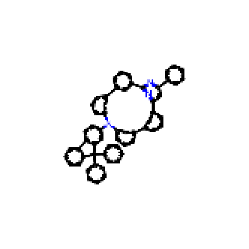 c1ccc(-c2cc3nc(n2)-c2cccc(c2)-c2cccc(c2)N(c2ccc4c(c2)C(c2ccccc2)(c2ccccc2)c2ccccc2-4)c2cccc(c2)-c2cccc-3c2)cc1